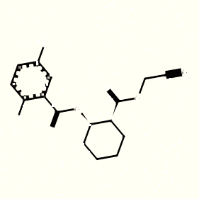 N#CCNC(=O)[C@H]1CCCC[C@H]1NC(=O)c1cc(Cl)ccc1Cl